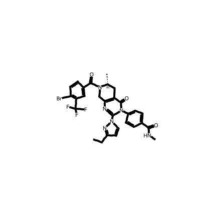 CCc1ccn(-c2nc3c(c(=O)n2-c2ccc(C(=O)NC)cc2)C[C@@H](C)N(C(=O)c2ccc(Br)c(C(F)(F)F)c2)C3)n1